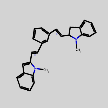 CN1c2ccccc2CC1/C=C/c1cccc(/C=C/c2cc3ccccc3n2C)c1